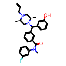 C=CCN1C[C@@H](C)N(C(c2cccc(O)c2)c2cccc(C(=O)N(C)c3cccc(F)c3)c2)C[C@H]1C